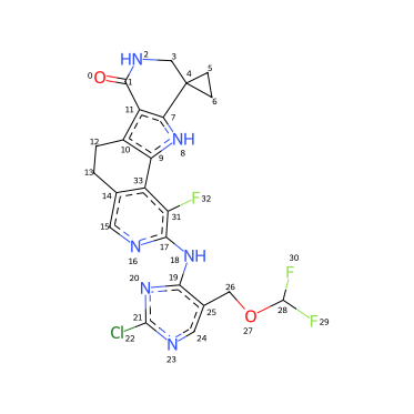 O=C1NCC2(CC2)c2[nH]c3c(c21)CCc1cnc(Nc2nc(Cl)ncc2COC(F)F)c(F)c1-3